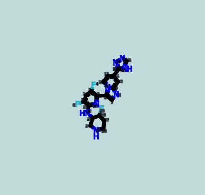 Fc1cc(F)c(-c2cnc3cc(-c4nnc[nH]4)ccn23)nc1NC1CNCCC1F